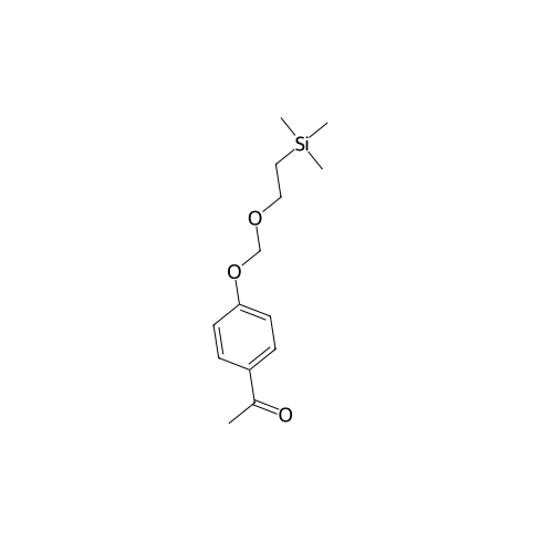 CC(=O)c1ccc(OCOCC[Si](C)(C)C)cc1